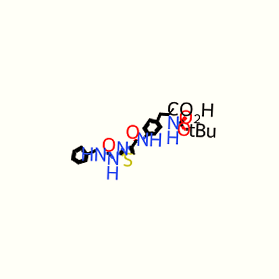 CC(C)(C)OC(=O)N[C@@H](Cc1ccc(NC(=O)c2csc(NC(=O)NCc3ccccc3)n2)cc1)C(=O)O